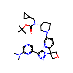 CN(C)c1cncc(-c2cn(C3(c4ccc(N5CCC[C@@H](N(CC6CC6)C(=O)OC(C)(C)C)C5)cn4)COC3)nn2)n1